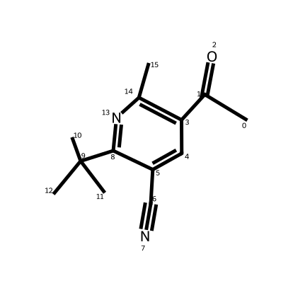 CC(=O)c1cc(C#N)c(C(C)(C)C)nc1C